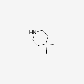 IC1(I)CCNCC1